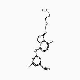 COCCC/N=C1\CCc2c(Oc3cc(F)cc(C#N)c3)ccc(I)c21